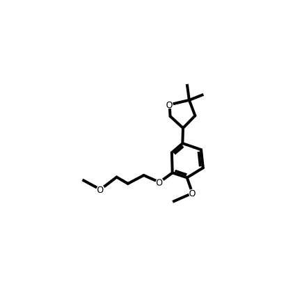 COCCCOc1cc(C2COC(C)(C)C2)ccc1OC